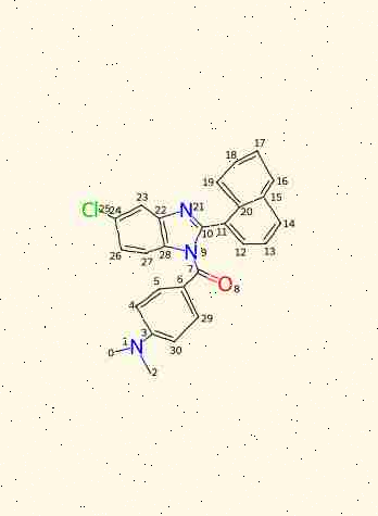 CN(C)c1ccc(C(=O)n2c(-c3cccc4ccccc34)nc3cc(Cl)ccc32)cc1